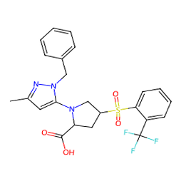 Cc1cc(N2CC(S(=O)(=O)c3ccccc3C(F)(F)F)CC2C(=O)O)n(Cc2ccccc2)n1